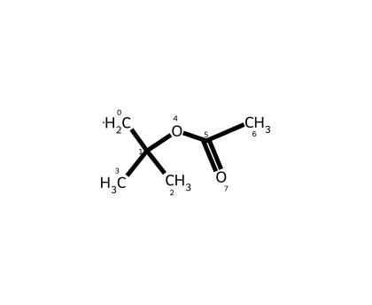 [CH2]C(C)(C)OC(C)=O